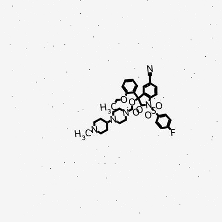 CCOc1ccccc1C1(OC(=O)N2CCN(C3CCN(C)CC3)CC2)C(=O)N(S(=O)(=O)c2ccc(F)cc2)c2ccc(C#N)cc21